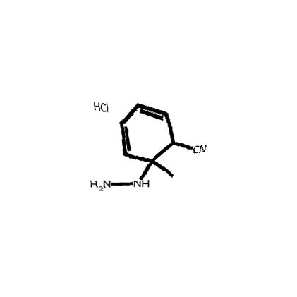 CC1(NN)C=CC=CC1C#N.Cl